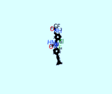 O=C(NCc1ccc(Cl)c(-c2nn(-c3ccc(C#CC4CC4)cc3F)c(=O)[nH]2)c1)C(F)(F)F